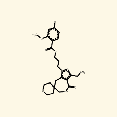 CCc1nn(CCCOC(=O)c2ccc(Cl)cc2OC)c2c1C(=O)NCC1(CCOCC1)C2